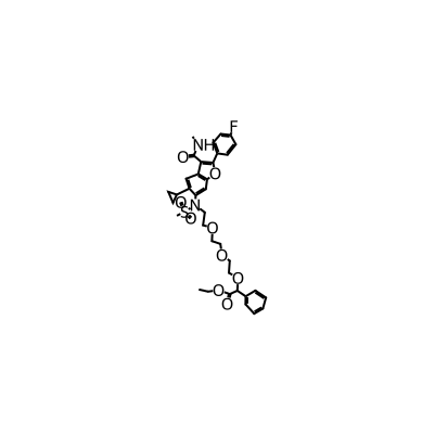 CCOC(=O)C(OCCOCCOCCN(c1cc2oc(-c3ccc(F)cc3)c(C(=O)NC)c2cc1C1CC1)S(C)(=O)=O)c1ccccc1